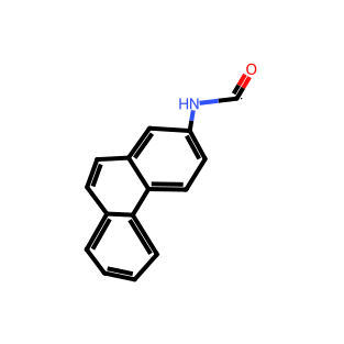 O=[C]Nc1ccc2c(ccc3ccccc32)c1